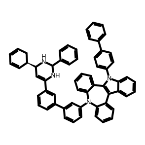 C1=CC[C@@H](C2C=C(c3cccc(-c4cccc(N5c6ccccc6-c6c(n(-c7ccc(-c8ccccc8)cc7)c7ccccc67)-c6ccccc65)c4)c3)NC(c3ccccc3)N2)C=C1